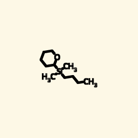 CCCC[Si](C)(C)C1CCCCO1